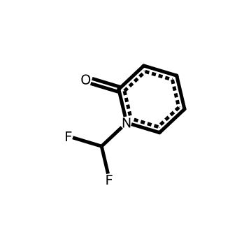 O=c1ccccn1C(F)F